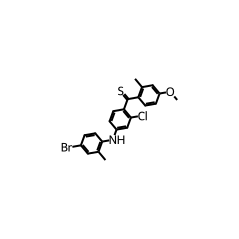 COc1ccc(C(=S)c2ccc(Nc3ccc(Br)cc3C)cc2Cl)c(C)c1